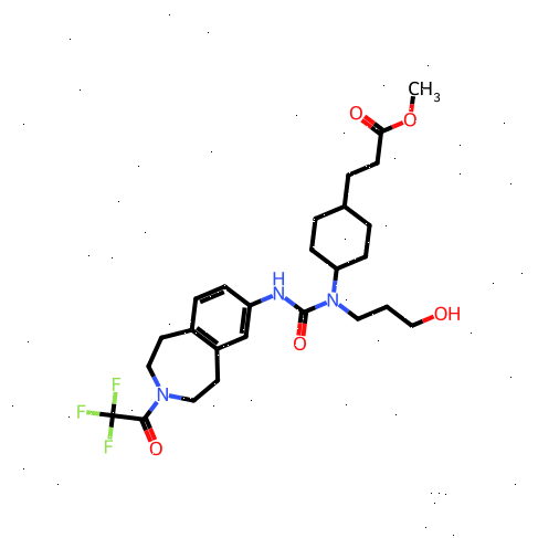 COC(=O)CCC1CCC(N(CCCO)C(=O)Nc2ccc3c(c2)CCN(C(=O)C(F)(F)F)CC3)CC1